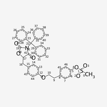 CS(=O)(=O)Oc1ccc(CCOc2ccc(CC3OC(=O)N(C(c4ccccc4)(c4ccccc4)c4ccccc4)C3=O)cc2)cc1